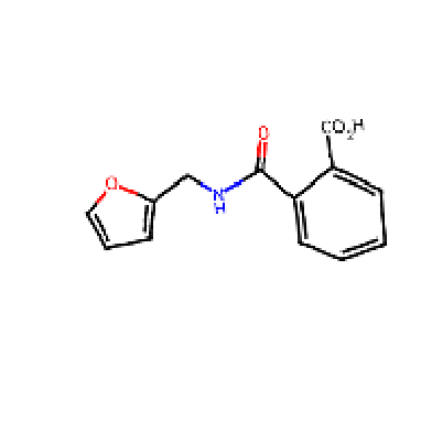 O=C(O)c1ccccc1C(=O)NCc1ccco1